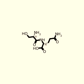 NC(=O)CC[C@@H](NC(=O)[C@@H](N)CO)C(=O)O